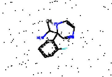 CC(N)C1(c2ccccc2F)C=NC=CN1